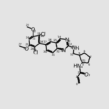 C=CC(=O)N[C@H]1CCCC1CNc1ncc2cc(-c3c(Cl)c(OC)cc(OC)c3Cl)ccc2n1